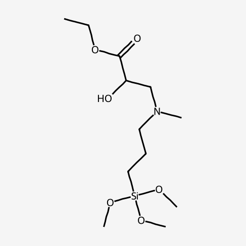 CCOC(=O)C(O)CN(C)CCC[Si](OC)(OC)OC